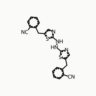 N#Cc1ccccc1Cc1cnc(NNc2ncc(Cc3ccccc3C#N)s2)s1